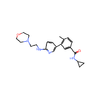 Cc1ccc(C(=O)NC2CC2)cc1-c1ccc(NCCN2CCOCC2)nc1